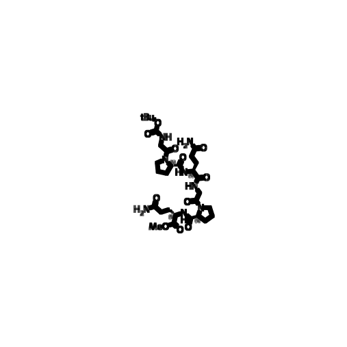 COC(=O)[C@H](CCC(N)=O)NC(=O)[C@@H]1CCCN1C(=O)CNC(=O)[C@H](CCC(N)=O)NC(=O)[C@@H]1CCCN1C(=O)CNC(=O)OC(C)(C)C